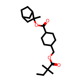 CCC(C)(C)C(=O)OCC1CCC(C(=O)OC2(C)CC3CCC2C3)CC1